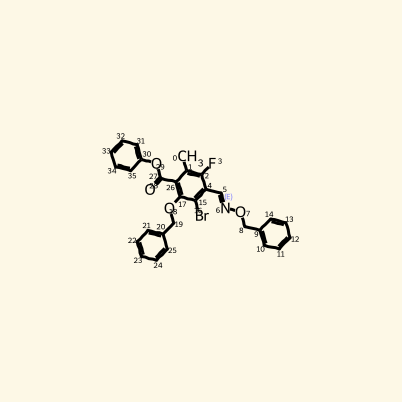 Cc1c(F)c(/C=N/OCc2ccccc2)c(Br)c(OCc2ccccc2)c1C(=O)Oc1ccccc1